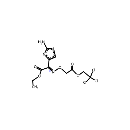 CCOC(=O)/C(=N/OCC(=O)OCC(Cl)(Cl)Cl)c1csc(N)n1